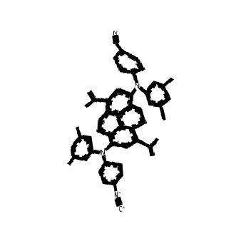 [C-]#[N+]c1ccc(N(c2cc(C)cc(C)c2)c2cc(C(C)C)c3ccc4c(N(c5ccc(C#N)cc5)c5cc(C)cc(C)c5)cc(C(C)C)c5ccc2c3c54)cc1